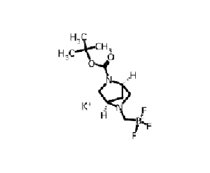 CC(C)(C)OC(=O)N1C[C@H]2C[C@@H]1CN2C[B-](F)(F)F.[K+]